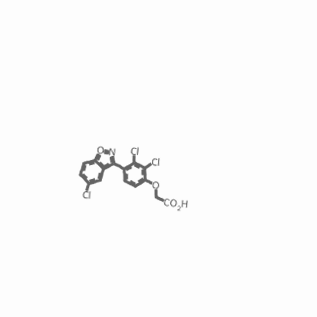 O=C(O)COc1ccc(-c2noc3ccc(Cl)cc23)c(Cl)c1Cl